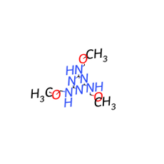 COCNc1nc(NCOC)nc(NCOC)n1